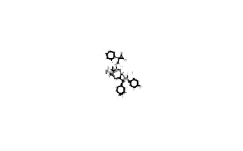 COc1ccc(C2(c3nnc(-c4nn(-c5ccc(Cl)cc5Cl)c(-c5ccc(Cl)cc5)c4Cn4cncn4)s3)CC2)cc1